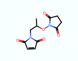 CC(CN1C(=O)C=CC1=O)ON1C(=O)CCC1=O